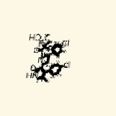 Cc1c[nH]c(=O)c(C2=NN(C(=O)C(F)(F)CC(=O)O)[C@@H](c3ccc(Cl)cc3)C2)c1-c1ccc(Cl)cc1